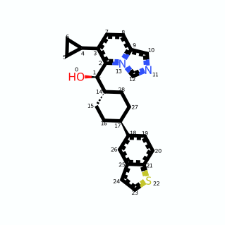 O[C@@H](c1c(C2CC2)ccc2cncn12)[C@H]1CC[C@H](c2ccc3sccc3c2)CC1